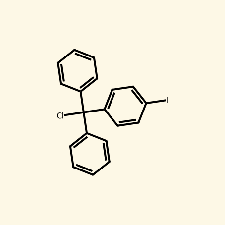 ClC(c1ccccc1)(c1ccccc1)c1ccc(I)cc1